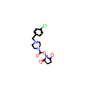 O=C(ON1C(=O)CCC1=O)N1CCN(Cc2ccc(Cl)cc2)CC1